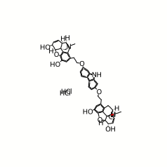 CN1CC[C@]23c4c5c(CCOc6ccc7c(c6)[nH]c6cc(OCCc8cc(O)c9c%10c8C[C@@H]8[C@@H]%11C=C[C@H](O)[C@H](O9)[C@]%10%11CCN8C)ccc67)cc(O)c4O[C@H]2[C@@H](O)C=C[C@H]3[C@H]1C5.Cl.Cl